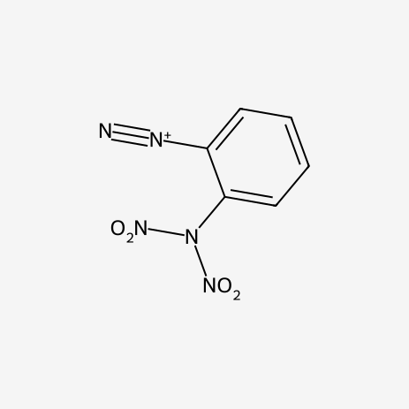 N#[N+]c1ccccc1N([N+](=O)[O-])[N+](=O)[O-]